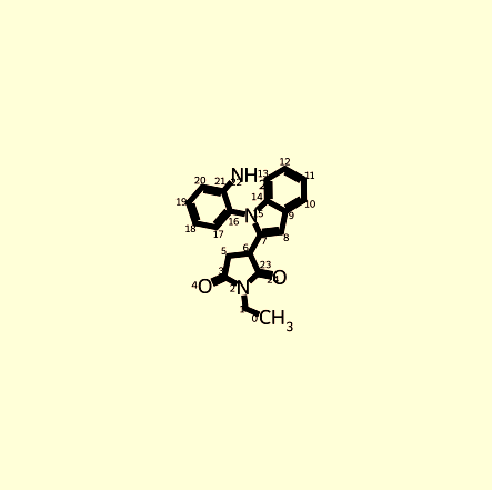 CCN1C(=O)CC(c2cc3ccccc3n2-c2ccccc2N)C1=O